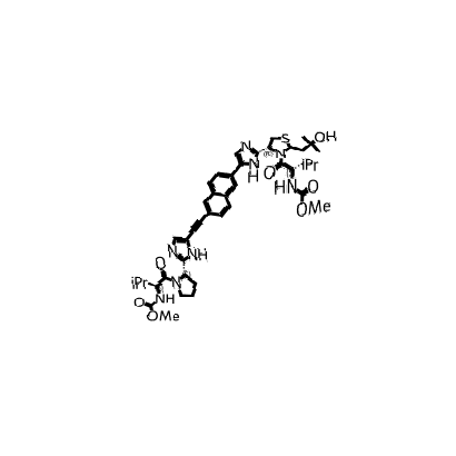 COC(=O)N[C@H](C(=O)N1CCC[C@H]1c1ncc(C#Cc2ccc3cc(-c4cnc([C@@H]5CSC(CC(C)(C)O)N5C(=O)[C@@H](NC(=O)OC)C(C)C)[nH]4)ccc3c2)[nH]1)C(C)C